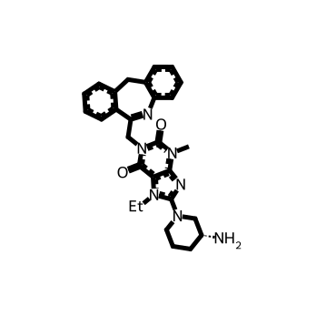 CCn1c(N2CCC[C@@H](N)C2)nc2c1c(=O)n(CC1=Nc3ccccc3Cc3ccccc31)c(=O)n2C